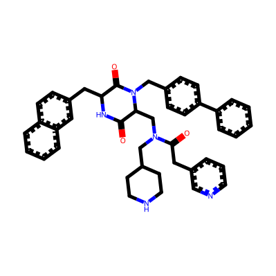 O=C1NC(Cc2ccc3ccccc3c2)C(=O)N(Cc2ccc(-c3ccccc3)cc2)C1CN(CC1CCNCC1)C(=O)Cc1cccnc1